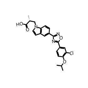 CC(C)Oc1ccc(-c2nc(-c3ccc4c(ccn4C[C@@H](C)C(=O)O)c3)no2)cc1Cl